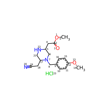 COC(=O)CC1CN(Cc2ccc(OC)cc2)C(CC#N)CN1.Cl